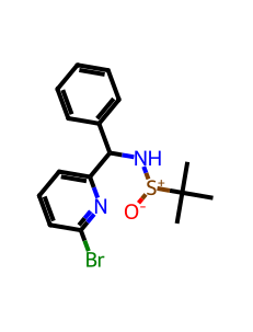 CC(C)(C)[S+]([O-])NC(c1ccccc1)c1cccc(Br)n1